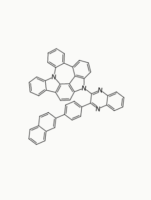 c1ccc2cc(-c3ccc(-c4nc5ccccc5nc4-n4c5cccc6c7ccccc7n7c8ccccc8c8ccc4c(c65)c87)cc3)ccc2c1